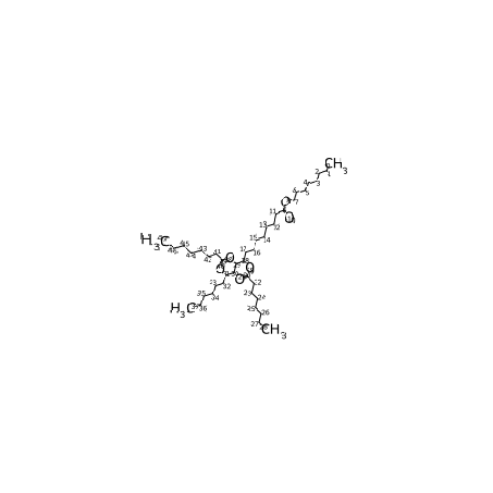 CCCCCCCCOC(=O)CCCCCCCC(OC(=O)CCCCCCC)C(CCCCCCCC)OC(=O)CCCCCCC